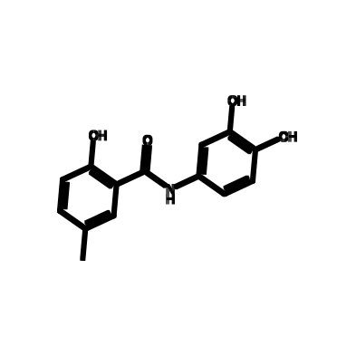 Cc1ccc(O)c(C(=O)Nc2ccc(O)c(O)c2)c1